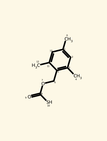 Cc1cc(C)c(COC(=O)S)c(C)c1